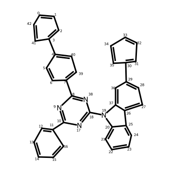 c1ccc(-c2ccc(-c3nc(-c4ccccc4)nc(-n4c5ccccc5c5ccc(-c6ccccc6)cc54)n3)cc2)cc1